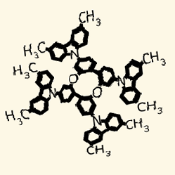 Cc1ccc2c(c1)c1cc(C)ccc1n2-c1ccc2c(c1)Oc1cc(-n3c4ccc(C)cc4c4cc(C)ccc43)ccc1-c1ccc(-n3c4ccc(C)cc4c4cc(C)ccc43)cc1Oc1cc(-n3c4ccc(C)cc4c4cc(C)ccc43)ccc1-2